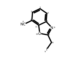 N#Cc1cccc2nc(CI)oc12